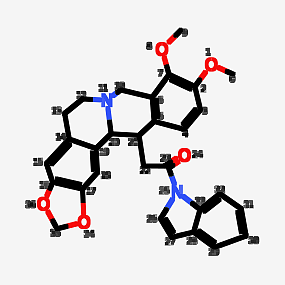 COc1ccc2c(c1OC)CN1CCc3cc4c(cc3C1C2CC(=O)n1ccc2ccccc21)OCO4